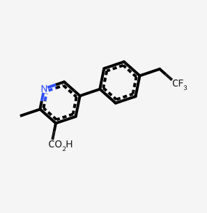 Cc1ncc(-c2ccc(CC(F)(F)F)cc2)cc1C(=O)O